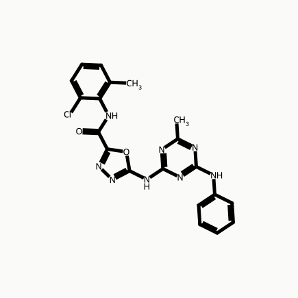 Cc1nc(Nc2ccccc2)nc(Nc2nnc(C(=O)Nc3c(C)cccc3Cl)o2)n1